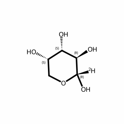 [2H][C@@]1(O)OC[C@H](O)[C@H](O)[C@H]1O